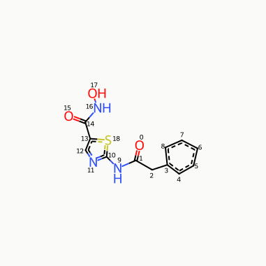 O=C(Cc1ccccc1)Nc1ncc(C(=O)NO)s1